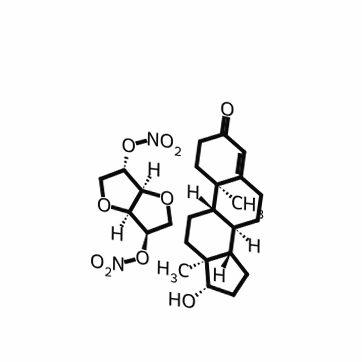 C[C@]12CC[C@H]3[C@@H](CCC4=CC(=O)CC[C@@]43C)[C@@H]1CC[C@@H]2O.O=[N+]([O-])O[C@H]1CO[C@H]2[C@@H]1OC[C@H]2O[N+](=O)[O-]